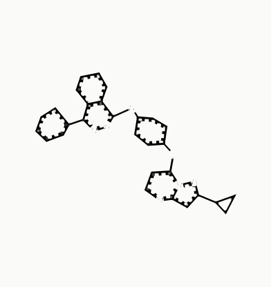 c1ccc(-c2nnc(Nc3ccc(Sc4ccnc5cc(C6CC6)nn45)cc3)c3ccccc23)cc1